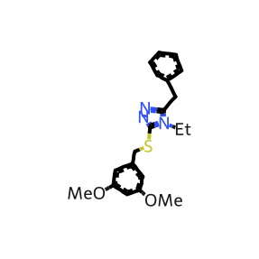 CCn1c(Cc2ccccc2)nnc1SCc1cc(OC)cc(OC)c1